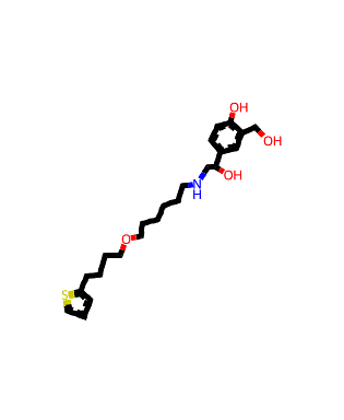 OCc1cc(C(O)CNCCCCCCOCCCCc2cccs2)ccc1O